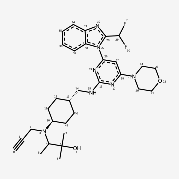 C#CCN(C(C)C(C)(C)O)[C@H]1CC[C@H](CNc2nc(N3CCOCC3)cc(-n3c(C(F)F)nc4ccccc43)n2)CC1